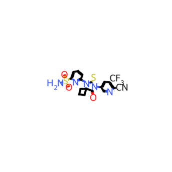 N#Cc1ncc(N2C(=O)C3(CCC3)N(c3cccc(S(N)(=O)=O)n3)C2=S)cc1C(F)(F)F